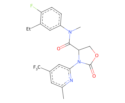 CCc1cc(N(C)C(=O)C2COC(=O)N2c2cc(C(F)(F)F)cc(C)n2)ccc1F